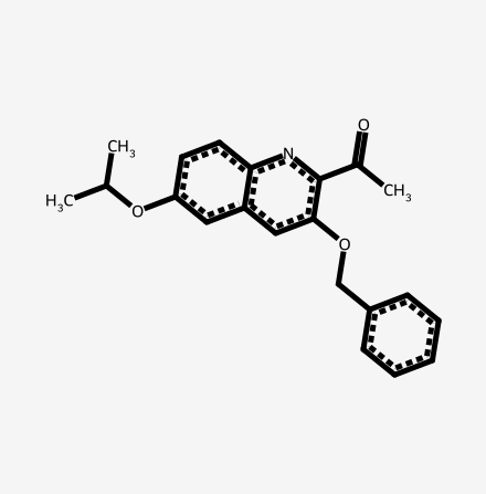 CC(=O)c1nc2ccc(OC(C)C)cc2cc1OCc1ccccc1